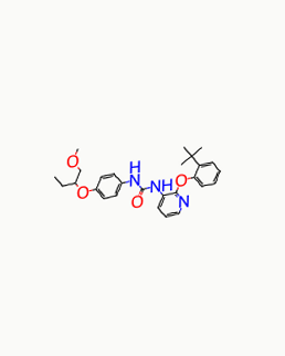 CCC(COC)Oc1ccc(NC(=O)Nc2cccnc2Oc2ccccc2C(C)(C)C)cc1